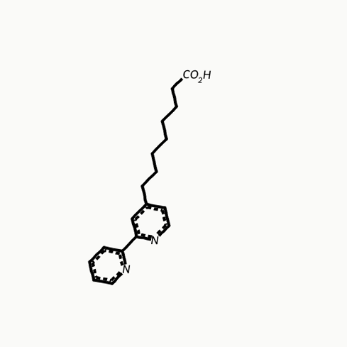 O=C(O)CCCCCCCc1ccnc(-c2ccccn2)c1